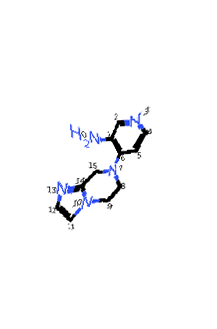 Nc1cnccc1N1CCn2ccnc2C1